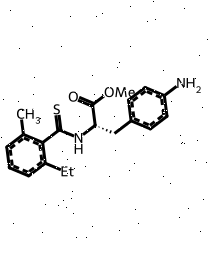 CCc1cccc(C)c1C(=S)N[C@@H](Cc1ccc(N)cc1)C(=O)OC